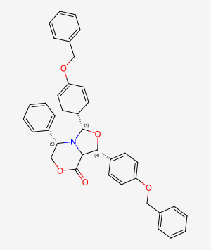 O=C1OC[C@H](c2ccccc2)N2C1[C@@H](c1ccc(OCc3ccccc3)cc1)O[C@H]2C1C=CC(OCc2ccccc2)=CC1